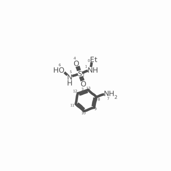 CCNS(=O)(=O)NO.Nc1ccccc1